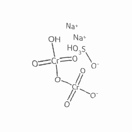 O=S(=O)([O-])O.[Na+].[Na+].[O]=[Cr](=[O])([O-])[O][Cr](=[O])(=[O])[OH]